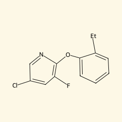 CCc1ccccc1Oc1ncc(Cl)cc1F